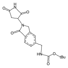 CC(C)(C)OC(=O)NCc1ccc2c(c1)CN(C1CC(=O)NC1=O)C2=O